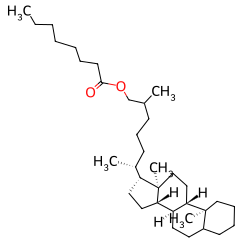 CCCCCCCC(=O)OCC(C)CCC[C@@H](C)[C@H]1CC[C@H]2[C@@H]3CCC4CCCC[C@]4(C)[C@H]3CC[C@]12C